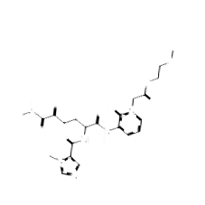 CNC(=O)C(=O)CCC(NC(=O)c1cncn1C)C(=O)Nc1cccn(CC(=O)OCCOC)c1=O